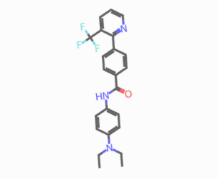 CCN(CC)c1ccc(NC(=O)c2ccc(-c3ncccc3C(F)(F)F)cc2)cc1